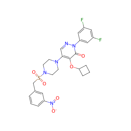 O=c1c(OC2CCC2)c(N2CCN(S(=O)(=O)Cc3cccc([N+](=O)[O-])c3)CC2)cnn1-c1cc(F)cc(F)c1